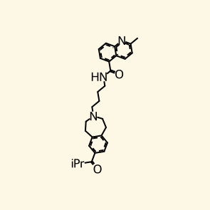 Cc1ccc2c(C(=O)NCCCCN3CCc4ccc(C(=O)C(C)C)cc4CC3)cccc2n1